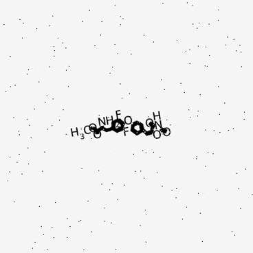 COC(=O)C(N)Cc1cc(F)c(Oc2ccc(/C=C3/OC(=O)NC3=O)cc2)c(F)c1